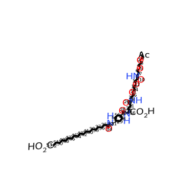 CC(=O)COCCOCCNC(=O)COCCOCCNC(=O)CC[C@H](NC(=O)[C@H]1CC[C@H](CNC(=O)CCCCCCCCCCCCCCCCCCC(=O)O)CC1)C(=O)O